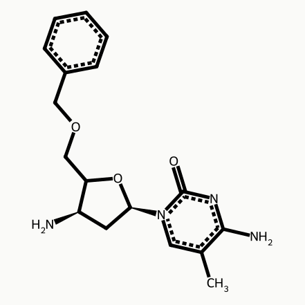 Cc1cn([C@H]2C[C@@H](N)C(COCc3ccccc3)O2)c(=O)nc1N